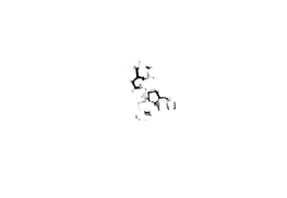 Cc1ncnc2c1ccn2[C@@H]1C=C(C=O)[C@@]2(C)OC(C)(C)O[C@@H]12